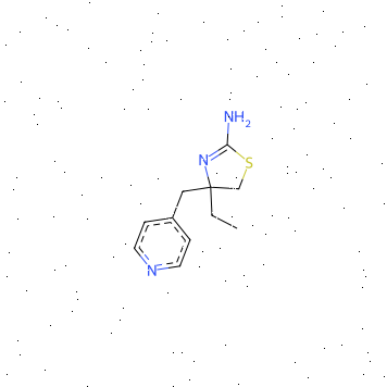 CCC1(Cc2ccncc2)CSC(N)=N1